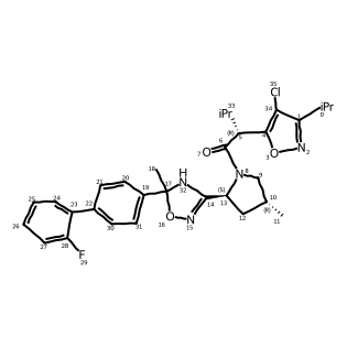 CC(C)c1noc([C@H](C(=O)N2C[C@H](C)C[C@H]2C2=NOC(C)(c3ccc(-c4ccccc4F)cc3)N2)C(C)C)c1Cl